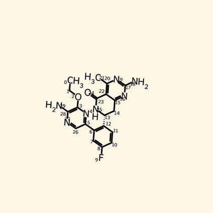 CCOc1nc(-c2cc(F)ccc2[C@H]2Cc3nc(N)nc(C)c3C(=O)N2)cnc1N